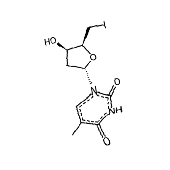 Cc1cn([C@@H]2C[C@@H](O)[C@@H](CI)O2)c(=O)[nH]c1=O